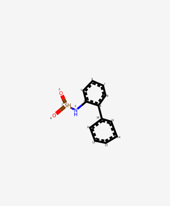 O=[SH](=O)Nc1ccccc1-c1ccccc1